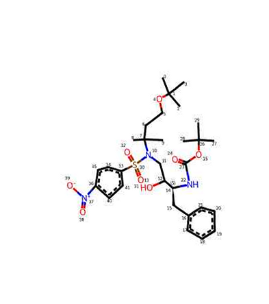 CC(C)(C)OCCC(C)(C)N(CC(O)[C@H](Cc1ccccc1)NC(=O)OC(C)(C)C)S(=O)(=O)c1ccc([N+](=O)[O-])cc1